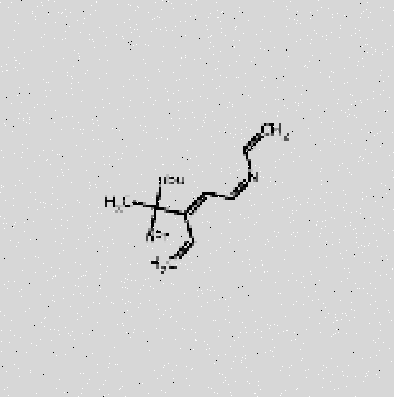 C=C/N=C\C=C(/C=C)C(C)(CCC)CCCC